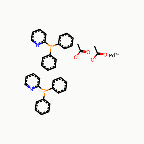 CC(=O)[O-].CC(=O)[O-].[Pd+2].c1ccc(P(c2ccccc2)c2ccccn2)cc1.c1ccc(P(c2ccccc2)c2ccccn2)cc1